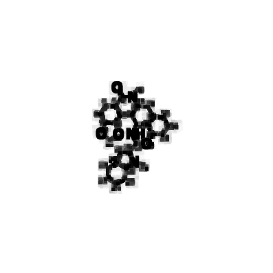 CN(C(=O)c1ccc2c(c1)OCO2)[C@H](CCNC(=O)c1cc2ccccc2n1C)Cc1ccccc1